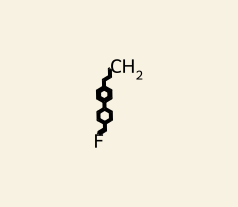 C=CCCc1ccc(C2CCC(C=CF)CC2)cc1